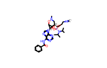 [C-]#[N+]CCOP(O[C@@H]1C2ON(C)C[C@]1(CC)O[C@H]2n1cnc2c(NC(=O)c3ccccc3)ncnc21)N(C(C)C)C(C)C